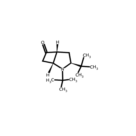 CC(C)(C)[C@@H]1C[C@H]2C(=O)C[C@H]2N1C(C)(C)C